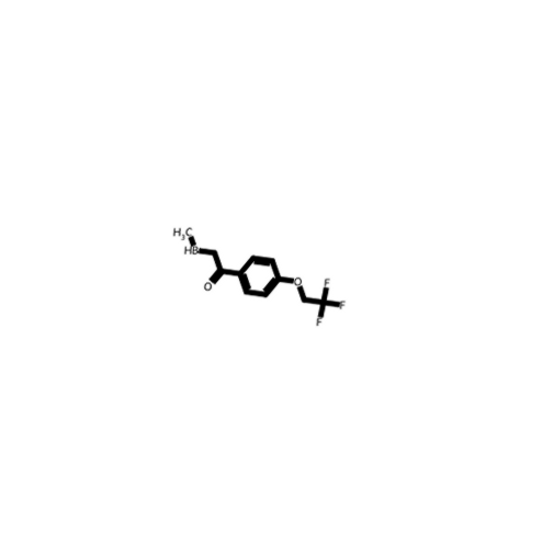 CBCC(=O)c1ccc(OCC(F)(F)F)cc1